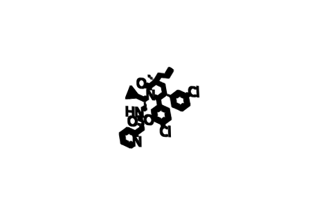 C=CC[C@@]1(C)C[C@H](c2cccc(Cl)c2)C(c2ccc(Cl)cc2)N([C@H](CNS(=O)(=O)Cc2ccccn2)C2CC2)C1=O